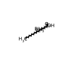 CCCCCCCCC=CCCCCCCCC(=O)O.[BiH3]